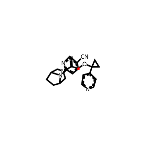 N#Cc1ccc(N2C3CCC2CN(C(=O)COC2(c4ccncc4)CC2)C3)nc1